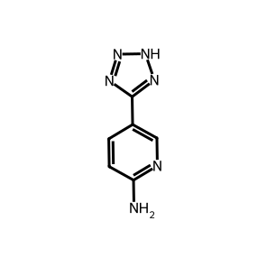 Nc1ccc(-c2nn[nH]n2)cn1